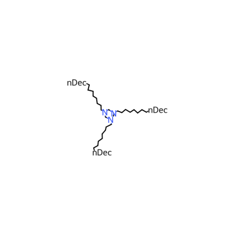 CCCCCCCCCCCCCCCCCCN1CN(CCCCCCCCCCCCCCCCCC)CN(CCCCCCCCCCCCCCCCCC)C1